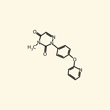 Cn1c(=O)cnn(-c2ccc(Oc3ccccn3)cc2)c1=O